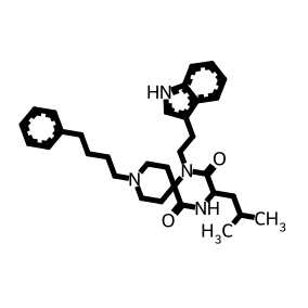 CC(C)CC1NC(=O)C2(CCN(CCCCc3ccccc3)CC2)N(CCc2c[nH]c3ccccc23)C1=O